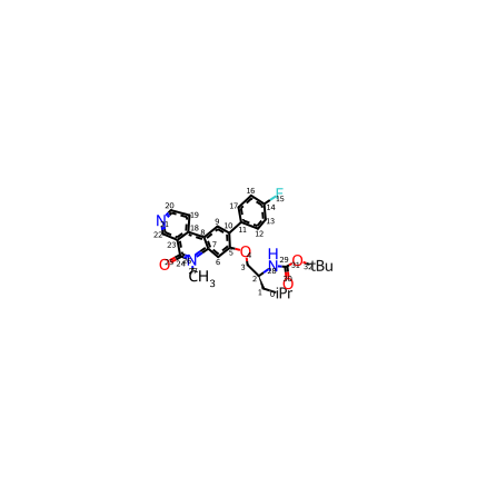 CC(C)C[C@@H](COc1cc2c(cc1-c1ccc(F)cc1)c1ccncc1c(=O)n2C)NC(=O)OC(C)(C)C